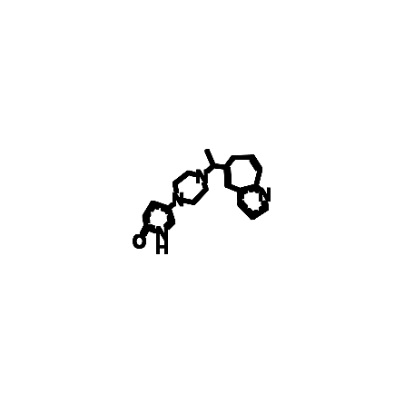 CC(C1=Cc2cccnc2C=CC1)N1CCN(c2ccc(=O)[nH]c2)CC1